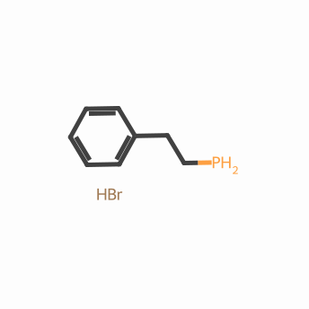 Br.PCCc1ccccc1